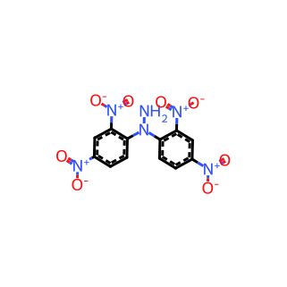 NN(c1ccc([N+](=O)[O-])cc1[N+](=O)[O-])c1ccc([N+](=O)[O-])cc1[N+](=O)[O-]